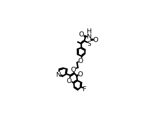 C/C(=C1/SC(=O)NC1=O)c1ccc(OCCOc2c(-c3cccnc3)oc3ccc(F)cc3c2=O)cc1